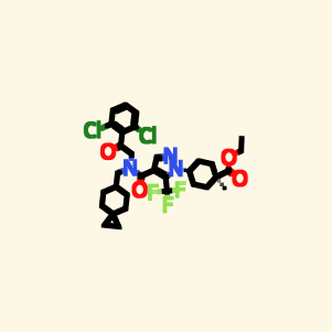 CCOC(=O)[C@]1(C)CC[C@@H](n2ncc(C(=O)N(CC(=O)c3c(Cl)cccc3Cl)CC3CCC4(CC3)CC4)c2C(F)(F)F)CC1